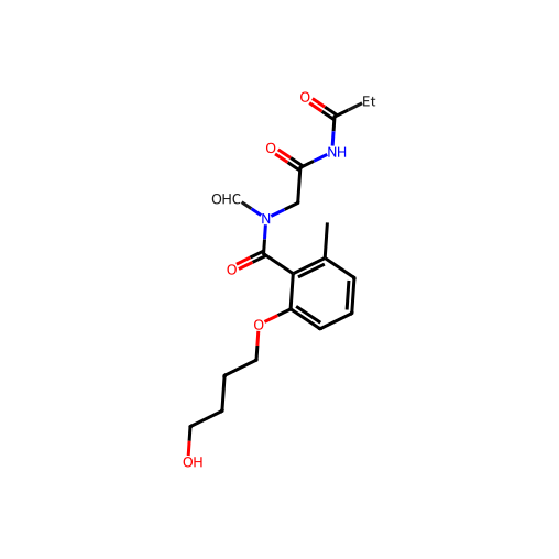 CCC(=O)NC(=O)CN(C=O)C(=O)c1c(C)cccc1OCCCCO